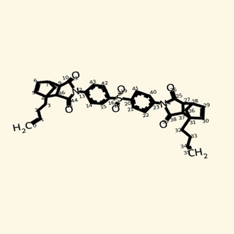 C=CCCC12C=CC(C1)C1C(=O)N(c3ccc(S(=O)(=O)c4ccc(N5C(=O)C6C7C=CC(CCC=C)(C7)C6C5=O)cc4)cc3)C(=O)C12